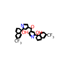 O=C(c1ccnc(C2(O)CC=Cc3cc(C(F)(F)F)ccc32)c1)c1ccnc(C2(O)CC=Cc3cc(C(F)(F)F)ccc32)c1